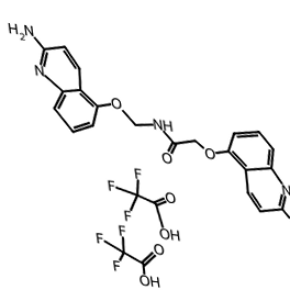 Nc1ccc2c(OCNC(=O)COc3cccc4nc(N)ccc34)cccc2n1.O=C(O)C(F)(F)F.O=C(O)C(F)(F)F